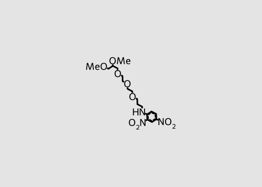 COCC(COCCOCCOCCCNc1ccc([N+](=O)[O-])cc1[N+](=O)[O-])OC